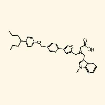 CCCC(CCC)c1ccc(OCc2ccc(-c3csc(CN(CC(=O)O)Cc4cn(C)c5ccccc45)c3)cc2)cc1